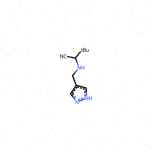 CC(C)(C)C(C#N)NCc1cn[nH]c1